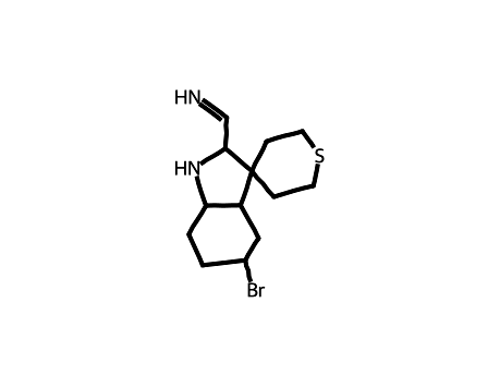 N=CC1NC2CCC(Br)CC2C12CCSCC2